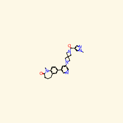 CN1C(=O)CCCc2cc(-c3cncc(N4CC5(CN(C(=O)c6cnn(C)c6)C5)C4)c3)ccc21